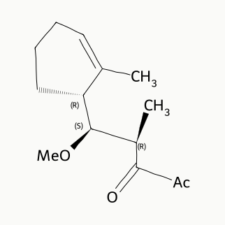 CO[C@@H]([C@@H]1CCCC=C1C)[C@@H](C)C(=O)C(C)=O